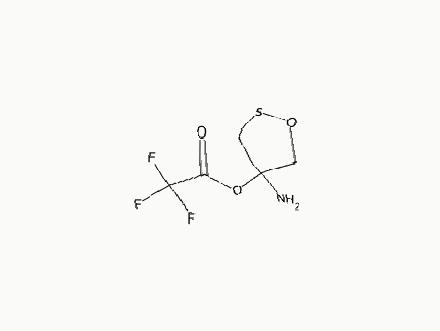 NC1(OC(=O)C(F)(F)F)COSC1